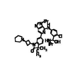 CC(C)NC(O)c1cc(Nc2nc(-c3ccc4c(c3)N([C@H]3C[C@@H](N5CCCCC5)C3)C(=O)C4(C)C)cc3ncn(C(C)C)c23)ccc1Cl